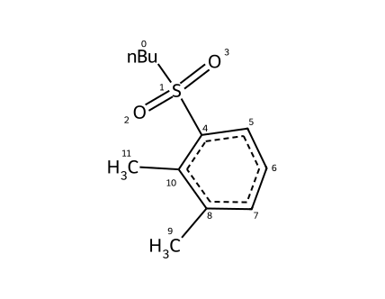 CCCCS(=O)(=O)c1cccc(C)c1C